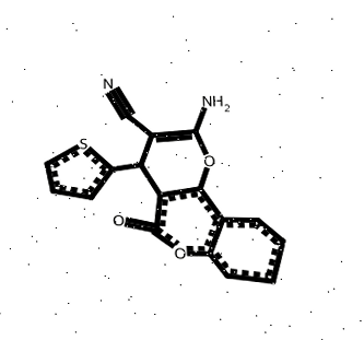 N#CC1=C(N)Oc2c(c(=O)oc3ccccc23)C1c1cccs1